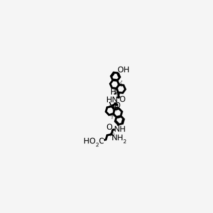 C[C@]1(C(=O)NC(=O)[C@@]2(C)CCC[C@]3(C)c4cc(NC(=O)[C@@H](N)CCC(=O)O)ccc4CC[C@@H]23)CCC[C@]2(C)c3cc(O)ccc3CC[C@@H]12